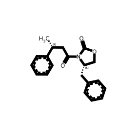 C[C@H](CC(=O)N1C(=O)OC[C@@H]1Cc1ccccc1)c1ccccc1